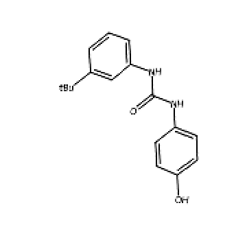 CC(C)(C)c1cccc(NC(=O)Nc2ccc(O)cc2)c1